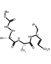 CC(C)C[C@@H](C=CS(=O)(=O)O)NC(=O)[C@H](C)NC(=O)[C@@H](NNC(=O)OC(C)(C)C)C(C)C